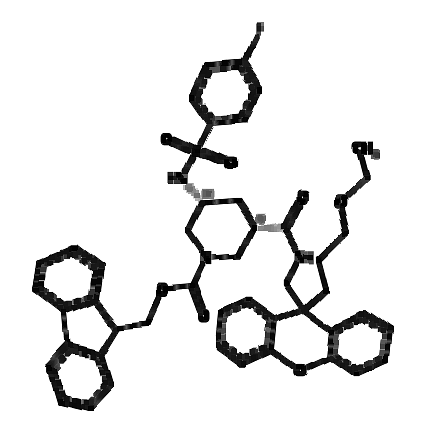 CCOCCCC1(CNC(=O)[C@H]2C[C@@H](NS(=O)(=O)c3ccc(F)cc3)CN(C(=O)OCC3c4ccccc4-c4ccccc43)C2)c2ccccc2Oc2ccccc21